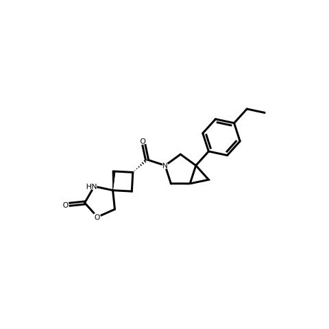 CCc1ccc(C23CC2CN(C(=O)[C@H]2C[C@]4(COC(=O)N4)C2)C3)cc1